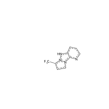 FC(F)(F)c1ccn2c3ncccc3[nH][n+]12